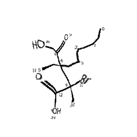 CCCC[C@@](C)(C(=O)O)[C@](C)(Br)C(=O)O